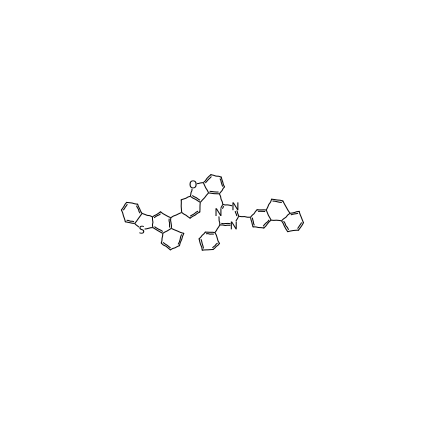 C1=CC(c2cc3c4ccccc4sc3c3ccccc23)Cc2oc3cccc(-c4nc(-c5ccccc5)nc(-c5ccc6c(ccc7ccccc76)c5)n4)c3c21